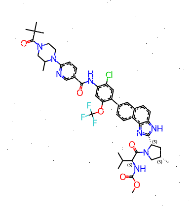 COC(=O)N[C@H](C(=O)N1C[C@@H](C)C[C@H]1c1nc2c(ccc3cc(-c4cc(Cl)c(NC(=O)c5ccc(N6CCN(C(=O)C(C)(C)C)CC6C)nc5)cc4OC(F)(F)F)ccc32)[nH]1)C(C)C